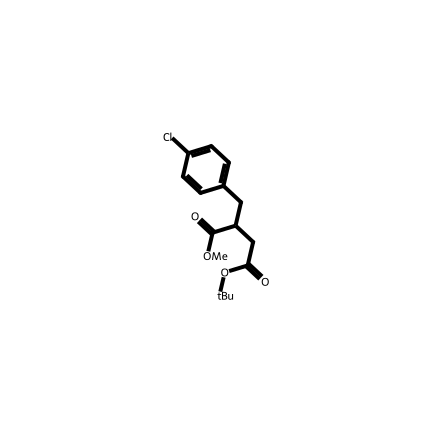 COC(=O)C(CC(=O)OC(C)(C)C)Cc1ccc(Cl)cc1